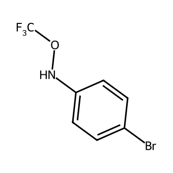 FC(F)(F)ONc1ccc(Br)cc1